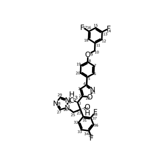 C[C@@H](c1cc(-c2ccc(OCc3cc(F)cc(F)c3)cc2)no1)[C@](O)(Cn1cncn1)c1ccc(F)cc1F